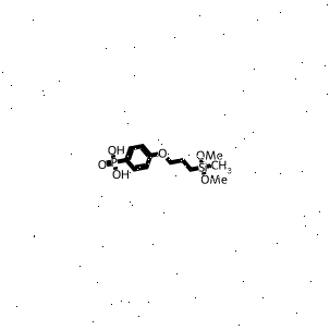 CO[Si](C)(CCCOc1ccc(P(=O)(O)O)cc1)OC